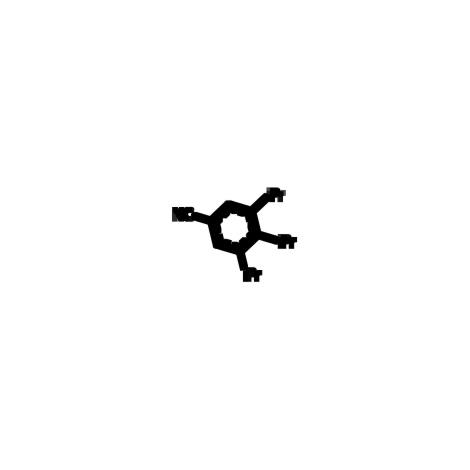 CC(C)c1cc(C#N)cc(C(C)C)c1C(C)C